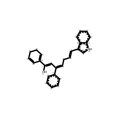 O/C(=C\C(=C/C/C=C/c1c[nH]c2ccccc12)c1ccccc1)C1=CCCC=C1